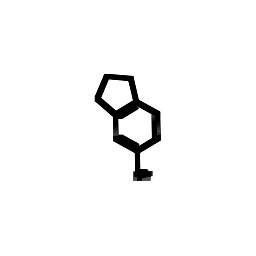 CCCc1ccc2c(c1)CCC2